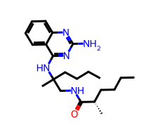 CCCC[C@H](C)C(=O)NCC(C)(CCCC)Nc1nc(N)nc2ccccc12